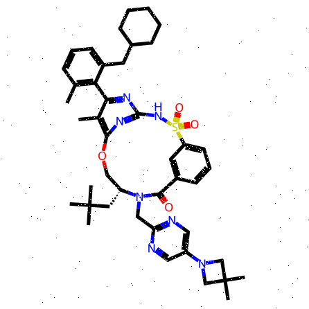 Cc1cccc(CC2CCCCC2)c1-c1nc2nc(c1C)OC[C@@H](CC(C)(C)C)N(Cc1ncc(N3CC(C)(C)C3)cn1)C(=O)c1cccc(c1)S(=O)(=O)N2